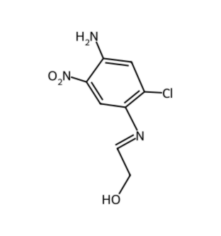 Nc1cc(Cl)c(N=CCO)cc1[N+](=O)[O-]